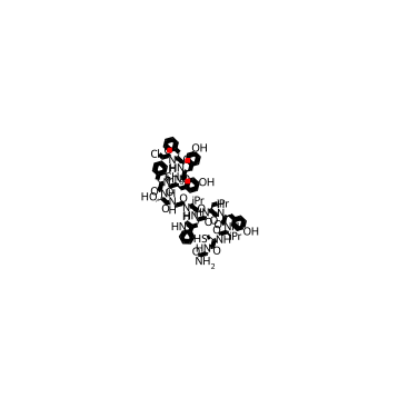 CC(C)C[C@H](NC(=O)[C@H](Cc1c[nH]c2ccccc12)NC(=O)[C@@H](NC(=O)CNC(=O)[C@H](CO)NC(=O)[C@H](Cc1ccccc1)N(C)C(=O)[C@H](Cc1ccc(O)cc1)NC(=O)[C@H](Cc1ccc(O)cc1)NC(=O)[C@@H](Cc1ccccc1)NC(=O)CCl)C(C)C)C(=O)N[C@@H](Cc1ccc(O)cc1)C(=O)N[C@H](C(=O)N[C@@H](CS)C(=O)NCC(N)=O)C(C)C